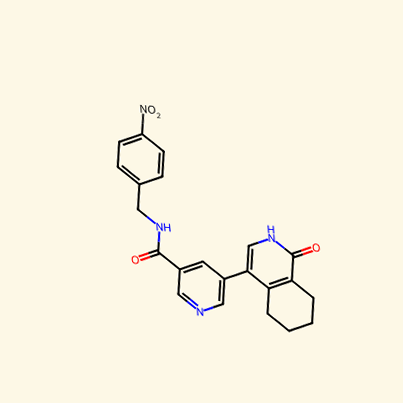 O=C(NCc1ccc([N+](=O)[O-])cc1)c1cncc(-c2c[nH]c(=O)c3c2CCCC3)c1